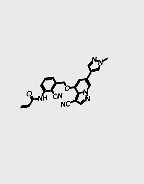 C=CC(=O)Nc1cccc(COc2cc(-c3cnn(C)c3)cn3ncc(C#N)c23)c1C#N